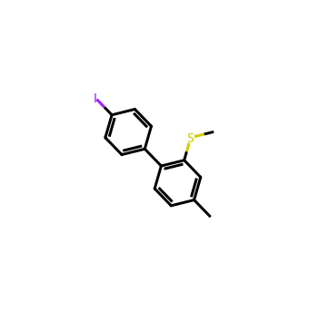 CSc1cc(C)ccc1-c1ccc(I)cc1